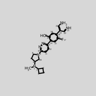 CN(C1CCC1)C1CCN(c2ccc(-c3cc(F)c(/C(C=N)=C/N)cc3O)nn2)C1